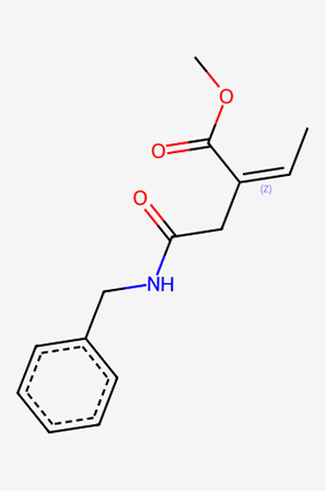 C/C=C(/CC(=O)NCc1ccccc1)C(=O)OC